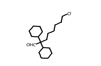 O=CC(CCCCCCCl)(C1CCCCC1)C1CCCCC1